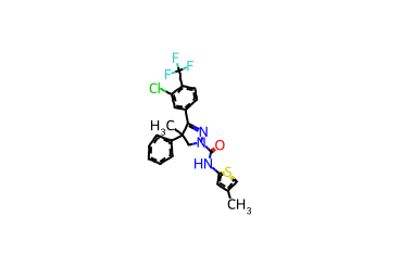 Cc1csc(NC(=O)N2CC(C)(c3ccccc3)C(c3ccc(C(F)(F)F)c(Cl)c3)=N2)c1